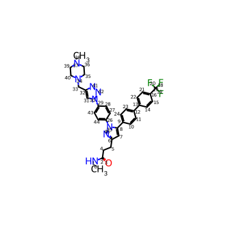 CNC(=O)CCc1cc(-c2ccc(-c3ccc(C(F)(F)F)cc3)cc2)n(-c2ccc(-n3cc(CN4CCN(C)CC4)nn3)cc2)n1